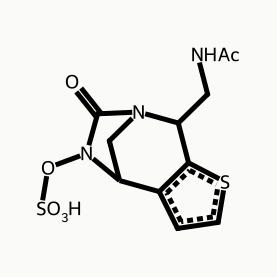 CC(=O)NCC1c2sccc2C2CN1C(=O)N2OS(=O)(=O)O